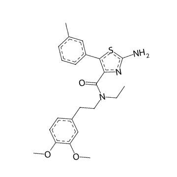 CCN(CCc1ccc(OC)c(OC)c1)C(=O)c1nc(N)sc1-c1cccc(C)c1